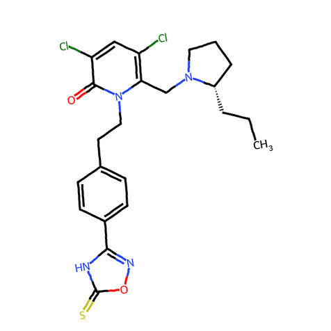 CCC[C@H]1CCCN1Cc1c(Cl)cc(Cl)c(=O)n1CCc1ccc(-c2noc(=S)[nH]2)cc1